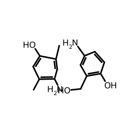 Cc1cc(O)c(C)cc1N.Nc1ccc(O)c(CO)c1